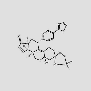 CC1(C)COC2(CCC3=C4[C@@H](CC[C@@]3(O)C2)[C@H]2C=CC(=O)[C@@]2(C)C[C@@H]4c2ccc(-c3nccs3)cc2)OC1